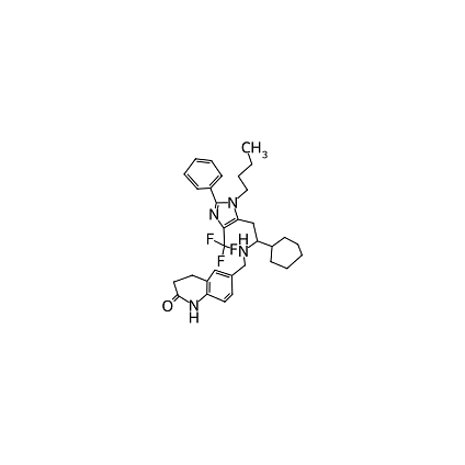 CCCCn1c(-c2ccccc2)nc(C(F)(F)F)c1CC(NCc1ccc2c(c1)CCC(=O)N2)C1CCCCC1